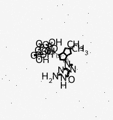 CC1(C)CC2C(C1)[C@H](n1cnc3c(=O)[nH]c(N)nc31)C[C@@H]2COP(=O)(O)OP(=O)(O)OP(=O)(O)O